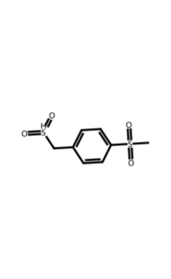 CS(=O)(=O)c1ccc(C[SH](=O)=O)cc1